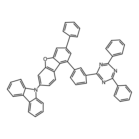 c1ccc(-c2cc(-c3cccc(-c4nc(-c5ccccc5)nc(-c5ccccc5)n4)c3)c3c(c2)oc2cc(-n4c5ccccc5c5ccccc54)ccc23)cc1